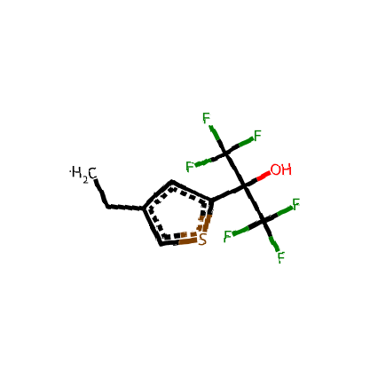 [CH2]Cc1csc(C(O)(C(F)(F)F)C(F)(F)F)c1